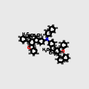 CC1(C)c2cc(N(c3ccc4c(c3)C(C)(C)c3c5c(c6oc7ccccc7c6c3-4)-c3ccccc3C5(C)C)c3ccc4ccccc4c3)ccc2-c2c1cc(-c1cccc3ccccc13)c1c2C2CC=CC=C2O1